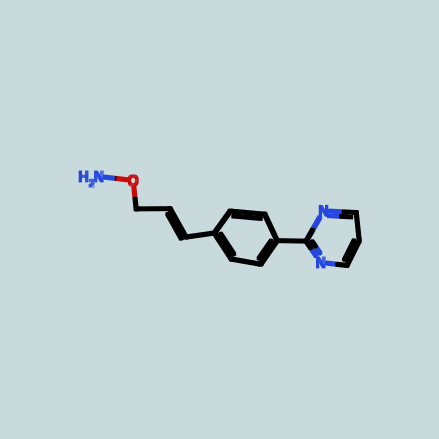 NOCC=Cc1ccc(-c2ncccn2)cc1